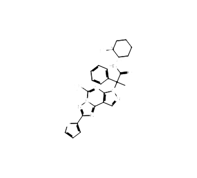 CC(C(=O)N[C@H]1CCCC[C@@H]1O)(c1ccccc1)n1ncc2c1nc(N)n1nc(-c3ccco3)nc21